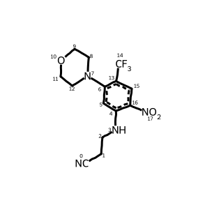 N#CCCNc1cc(N2CCOCC2)c(C(F)(F)F)cc1[N+](=O)[O-]